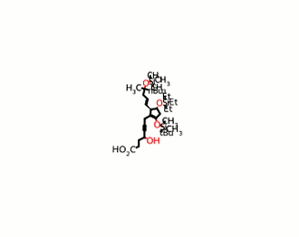 CCCCC(C)(C/C=C/[C@@H]1C(CC#CC(O)CCC(=O)O)=C(O[Si](C)(C)C(C)(C)C)C[C@H]1O[Si](CC)(CC)CC)O[Si](C)(C)C